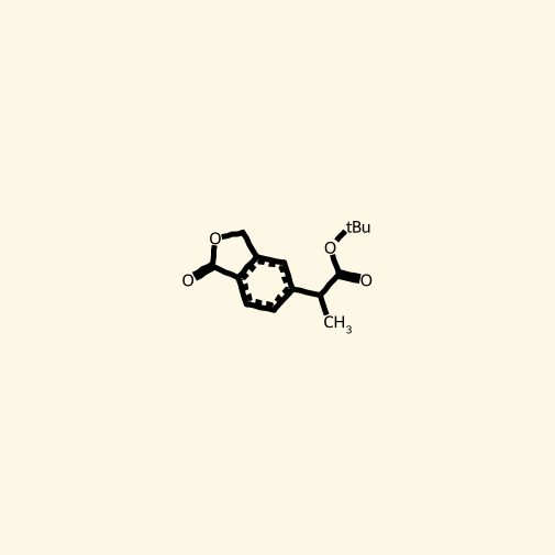 CC(C(=O)OC(C)(C)C)c1ccc2c(c1)COC2=O